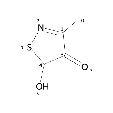 CC1=NSC(O)C1=O